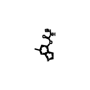 Cc1cc(OC(=O)NC(C)(C)C)c2ccsc2c1